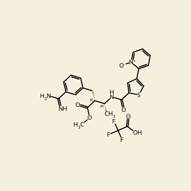 COC(=O)[C@H](Cc1cccc(C(=N)N)c1)[C@@H](C)NC(=O)c1cc(-c2cccc[n+]2[O-])cs1.O=C(O)C(F)(F)F